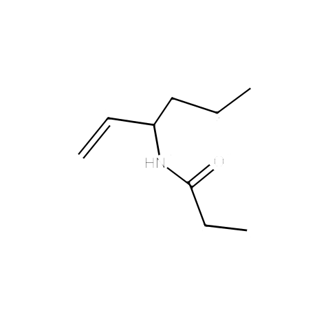 C=CC(CCC)NC(=O)CC